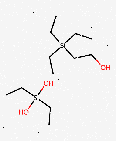 CC[Si](CC)(CC)CCO.CC[Si](O)(O)CC